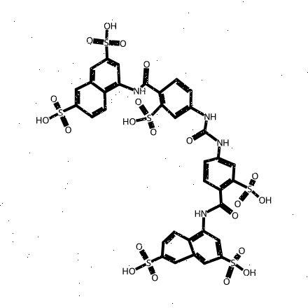 O=C(Nc1ccc(C(=O)Nc2cc(S(=O)(=O)O)cc3cc(S(=O)(=O)O)ccc23)c(S(=O)(=O)O)c1)Nc1ccc(C(=O)Nc2cc(S(=O)(=O)O)cc3cc(S(=O)(=O)O)ccc23)c(S(=O)(=O)O)c1